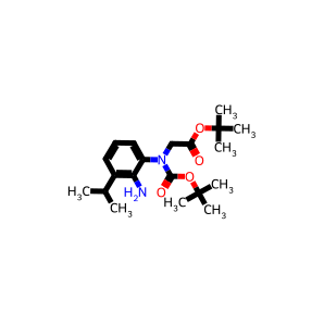 CC(C)c1cccc(N(CC(=O)OC(C)(C)C)C(=O)OC(C)(C)C)c1N